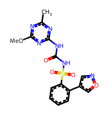 COc1nc(C)nc(NC(=O)NS(=O)(=O)c2ccccc2-c2cnoc2)n1